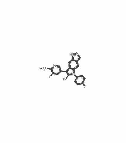 CC(C)c1c(-c2cnc(C(=O)O)c(F)c2)c2cc3[nH]ncc3cc2n1-c1ccc(F)cc1